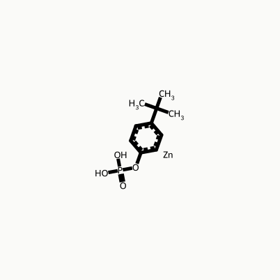 CC(C)(C)c1ccc(OP(=O)(O)O)cc1.[Zn]